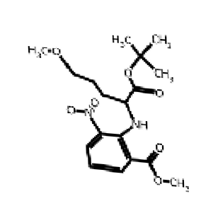 COCCCC(Nc1c(C(=O)OC)cccc1[N+](=O)[O-])C(=O)OC(C)(C)C